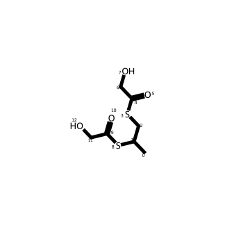 CC(CSC(=O)CO)SC(=O)CO